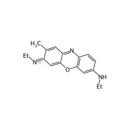 CC/N=c1/cc2oc3cc(NCC)ccc3nc-2cc1C